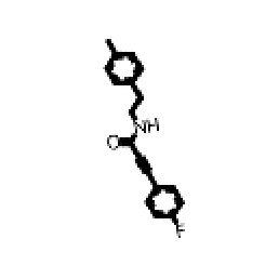 Cc1ccc(CCNC(=O)C#Cc2ccc(F)cc2)cc1